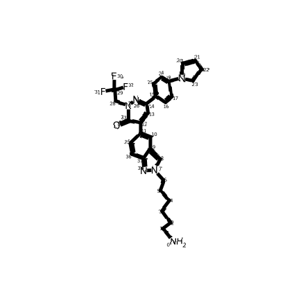 NCCCCCCn1cc2cc(-c3cc(-c4ccc(N5C=CCC5)cc4)nn(CC(F)(F)F)c3=O)ccc2n1